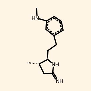 CNc1cccc(CC[C@H]2NC(=N)C[C@@H]2C)c1